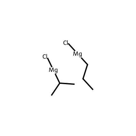 CC[CH2][Mg][Cl].C[CH](C)[Mg][Cl]